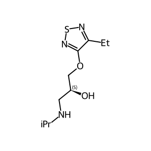 CCc1nsnc1OC[C@@H](O)CNC(C)C